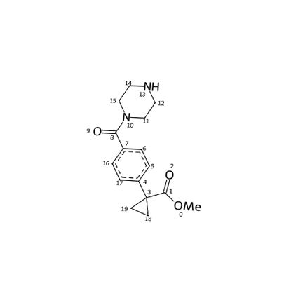 COC(=O)C1(c2ccc(C(=O)N3CCNCC3)cc2)CC1